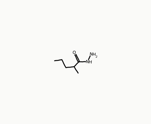 CCCC(C)C(=O)NN